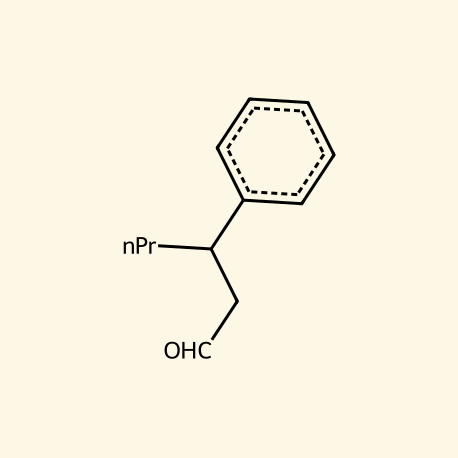 CCCC(CC=O)c1ccccc1